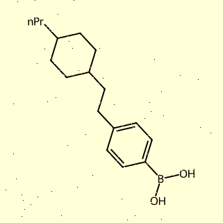 CCCC1CCC(CCc2ccc(B(O)O)cc2)CC1